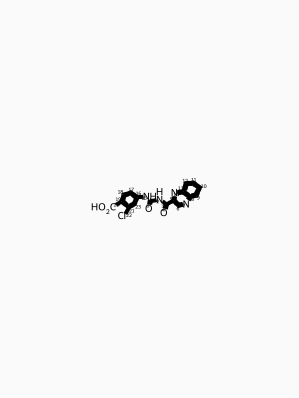 O=C(NC(=O)c1cnc2ccccc2n1)Nc1ccc(C(=O)O)c(Cl)c1